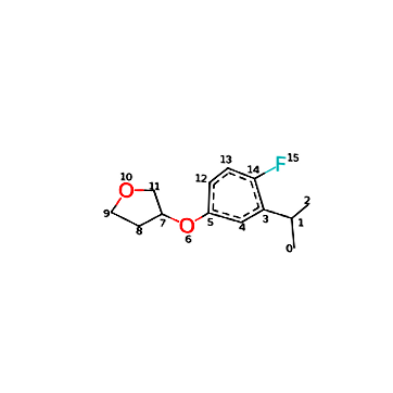 CC(C)c1cc(OC2CCOC2)ccc1F